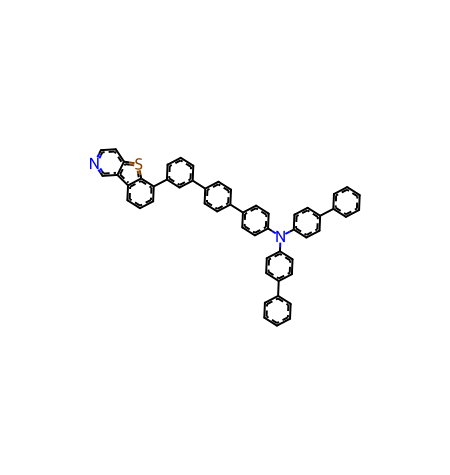 c1ccc(-c2ccc(N(c3ccc(-c4ccccc4)cc3)c3ccc(-c4ccc(-c5cccc(-c6cccc7c6sc6ccncc67)c5)cc4)cc3)cc2)cc1